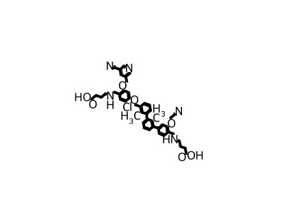 Cc1c(COc2cc(OCc3cncc(C#N)c3)c(CNCCCC(=O)O)cc2Cl)cccc1-c1cccc(-c2ccc(CNCCCC(=O)O)c(OCC#N)c2)c1C